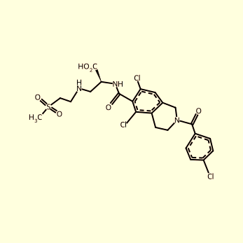 CS(=O)(=O)CCNC[C@H](NC(=O)c1c(Cl)cc2c(c1Cl)CCN(C(=O)c1ccc(Cl)cc1)C2)C(=O)O